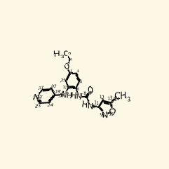 CCOc1ccc(NC(=O)Nc2cc(C)on2)c(Nc2ccncc2)c1